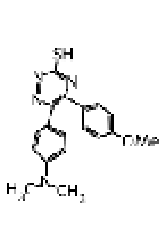 COc1ccc(-c2nc(S)nnc2-c2ccc(N(C)C)cc2)cc1